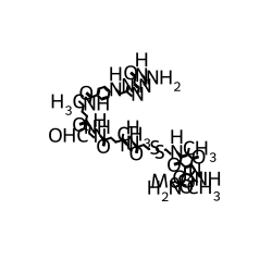 CO[C@@]12C(OC(N)=O)C3=C(C(=O)C(C)=C(NCCSSCCC(=O)N/N=C(\C)CCC(=O)NCC(C=O)NC(=O)CCC(C)NC(=O)c4ccc(NCc5cnc6nc(N)[nH]c(=O)c6n5)cc4)C3=O)N1CN[C@H]2C